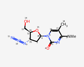 CNc1nc(=O)n([C@H]2C[C@H](N=[N+]=[N-])[C@@H](CO)O2)cc1C